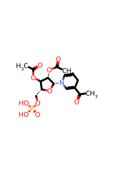 CC(=O)OC1[C@@H](COP(=O)(O)O)O[C@@H](N2C=CCC(C(C)=O)=C2)[C@H]1OC(C)=O